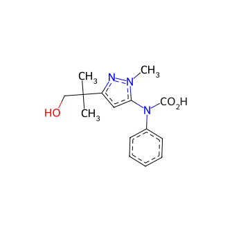 Cn1nc(C(C)(C)CO)cc1N(C(=O)O)c1ccccc1